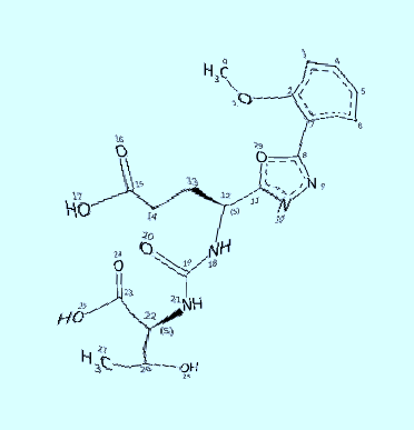 COc1ccccc1-c1nnc([C@H](CCC(=O)O)NC(=O)N[C@H](C(=O)O)C(C)O)o1